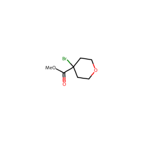 COC(=O)C1(Br)CCOCC1